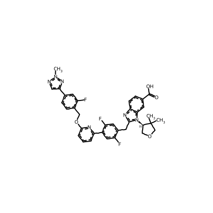 Cn1ncc(-c2ccc(COc3cccc(-c4cc(F)c(Cc5nc6ccc(C(=O)O)cc6n5[C@@H]5COCC5(C)C)cc4F)n3)c(F)c2)n1